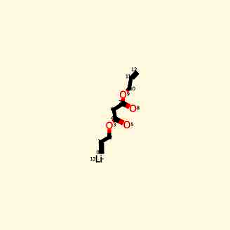 C=CCOC(=O)CC(=O)OCC=C.[Li]